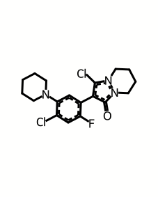 O=c1c(-c2cc(N3CCCCC3)c(Cl)cc2F)c(Cl)n2n1CCCC2